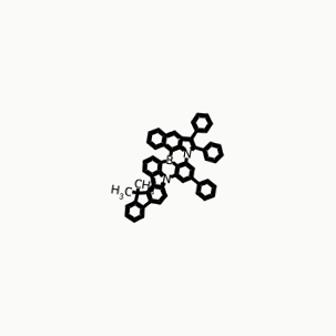 CC1(C)c2ccccc2-c2ccc3c(c21)c1cccc2c1n3-c1cc(-c3ccccc3)cc3c1B2c1c2ccccc2cc2c(-c4ccccc4)c(-c4ccccc4)n-3c12